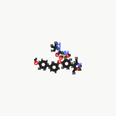 COc1ccc(-c2cccc(Oc3ccc(-c4c(C)noc4C)cc3S(=O)(=O)NC(=O)NC(C)(C)C)c2)cc1